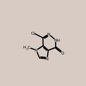 Cn1cnc2c(=O)[nH]nc(Cl)c21